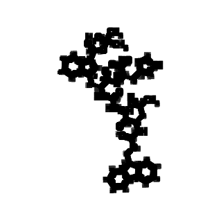 CC(C)C[C@@H](NC(=O)OCC1c2ccccc2-c2ccccc21)C(=O)NNC(=O)N[C@H](Cc1cn(C(=O)OC(C)(C)C)c2ccccc12)C(=O)N[C@@H](Cc1c[nH]cn1)C(=O)O